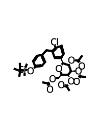 CC(=O)OC[C@H]1O[C@@H](c2ccc(Cl)c(Cc3ccc(O[Si](C)(C)C(C)(C)C)cc3)c2)[C@H](OC(C)=O)[C@@H](OC(C)=O)[C@@H]1OC(C)=O